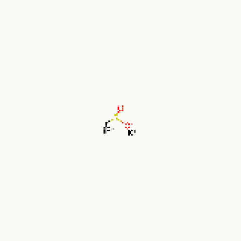 CC(C)CS(=O)[O-].[K+]